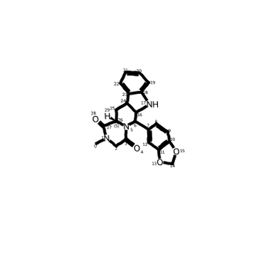 CN1CC(=O)N2C(c3ccc4c(c3)OCO4)C3Nc4ccccc4C3C[C@H]2C1=O